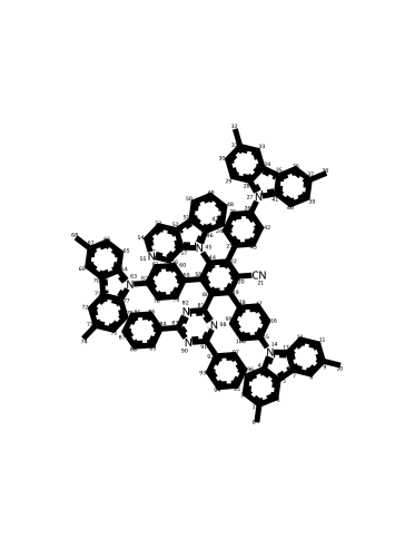 Cc1ccc2c(c1)c1cc(C)ccc1n2-c1ccc(-c2c(C#N)c(-c3ccc(-n4c5ccc(C)cc5c5cc(C)ccc54)cc3)c(-n3c4ccccc4c4ccncc43)c(-c3ccc(-n4c5ccc(C)cc5c5cc(C)ccc54)cc3)c2-c2nc(-c3ccccc3)nc(-c3ccccc3)n2)cc1